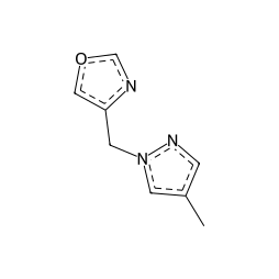 Cc1cnn(Cc2cocn2)c1